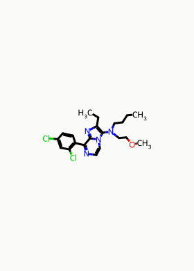 CCCCN(CCOC)c1c(CC)nc2c(-c3ccc(Cl)cc3Cl)nccn12